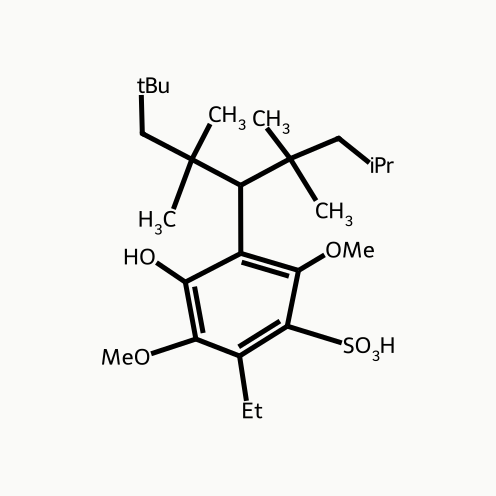 CCc1c(OC)c(O)c(C(C(C)(C)CC(C)C)C(C)(C)CC(C)(C)C)c(OC)c1S(=O)(=O)O